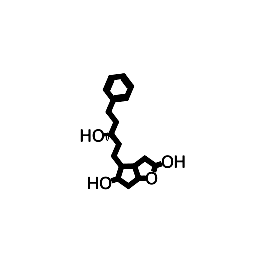 OC1CC2C(CC(O)C2CC[C@@H](O)CCc2ccccc2)O1